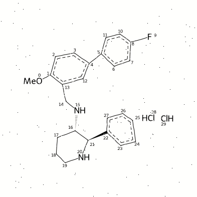 COc1ccc(-c2ccc(F)cc2)cc1CN[C@H]1CCCN[C@@H]1c1ccccc1.Cl.Cl